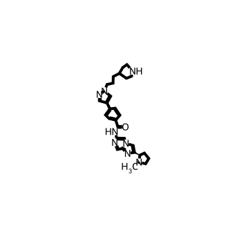 CN1CCC[C@@H]1c1cn2cc(NC(=O)c3ccc(-c4cnn(CCCC5CCNCC5)c4)cc3)ncc2n1